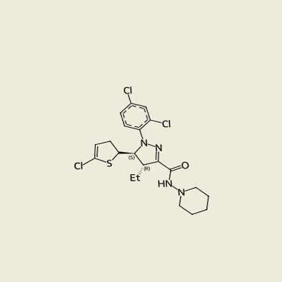 CC[C@H]1C(C(=O)NN2CCCCC2)=NN(c2ccc(Cl)cc2Cl)[C@@H]1C1CC=C(Cl)S1